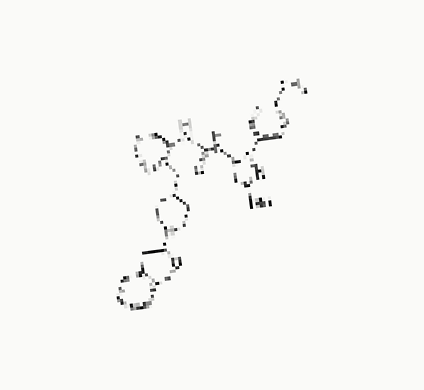 Cc1ccc(-n2nc(C(C)(C)C)cc2NC(=O)Nc2ccccc2CC2CCN(C(=O)Cc3ccccc3F)CC2)cc1